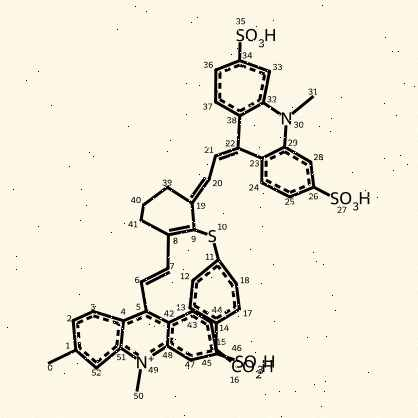 Cc1ccc2c(/C=C/C3=C(Sc4ccc(CC(=O)O)cc4)C(=C/C=C4c5ccc(S(=O)(=O)O)cc5N(C)c5cc(S(=O)(=O)O)ccc54)/CCC3)c3ccc(S(=O)(=O)O)cc3[n+](C)c2c1